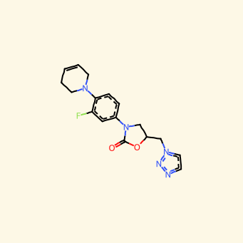 O=C1OC(Cn2ccnn2)CN1c1ccc(N2CC=CCC2)c(F)c1